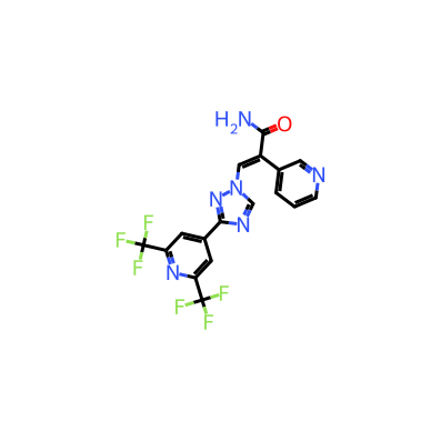 NC(=O)/C(=C/n1cnc(-c2cc(C(F)(F)F)nc(C(F)(F)F)c2)n1)c1cccnc1